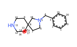 c1ccc(CN2CCC3(CCNCC34OCCO4)C2)cc1